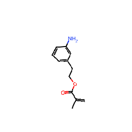 C=C(C)C(=O)OCCc1cccc(N)c1